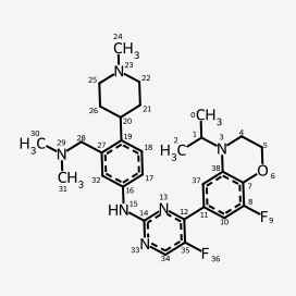 CC(C)N1CCOc2c(F)cc(-c3nc(Nc4ccc(C5CCN(C)CC5)c(CN(C)C)c4)ncc3F)cc21